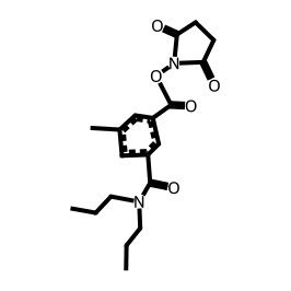 CCCN(CCC)C(=O)c1cc(C)cc(C(=O)ON2C(=O)CCC2=O)c1